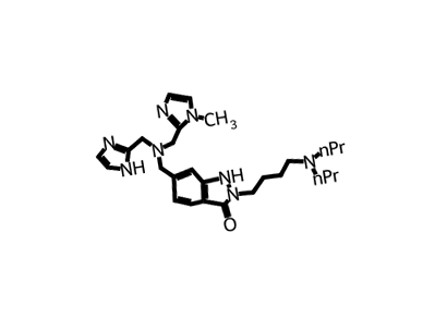 CCCN(CCC)CCCCn1[nH]c2cc(CN(Cc3ncc[nH]3)Cc3nccn3C)ccc2c1=O